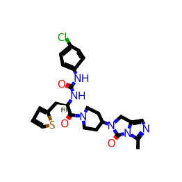 Cc1ncc2n1C(=O)N(C1CCN(C(=O)[C@@H](Cc3cccs3)NC(=O)Nc3ccc(Cl)cc3)CC1)C2